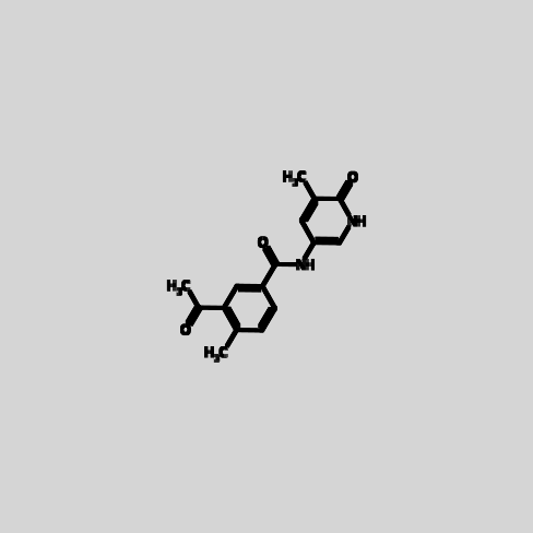 CC(=O)c1cc(C(=O)Nc2c[nH]c(=O)c(C)c2)ccc1C